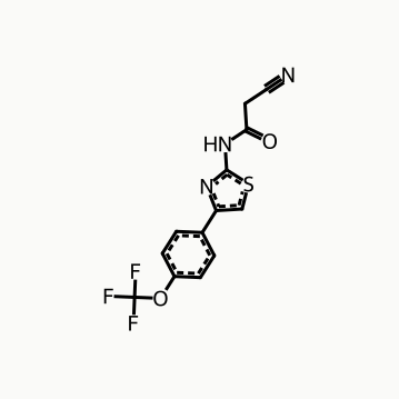 N#CCC(=O)Nc1nc(-c2ccc(OC(F)(F)F)cc2)cs1